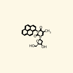 Cc1cn([C@H]2CC(O)[C@@H](CO)O2)c(=O)n(-c2ccc3ccc4cccc5ccc2c3c45)c1=O